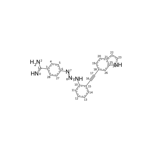 N=C(N)c1ccc(/N=N/Nc2ccccc2C#Cc2ccc3cc[nH]c3c2)cc1